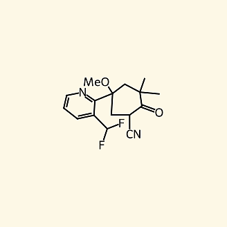 COC1(c2ncccc2C(F)F)CC(C#N)C(=O)C(C)(C)C1